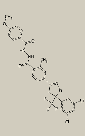 COc1ccc(C(=O)NNC(=O)c2ccc(C3=NOC(c4cc(Cl)cc(Cl)c4)(C(F)(F)F)C3)cc2C)cc1